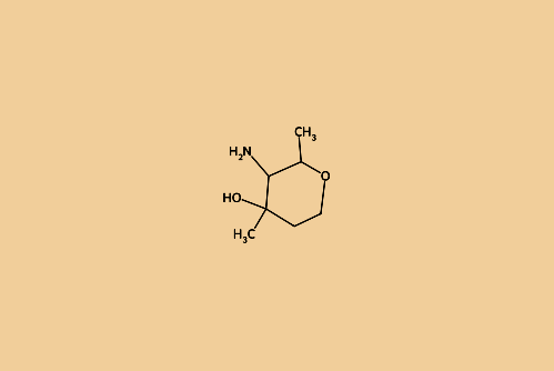 CC1OCCC(C)(O)C1N